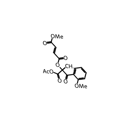 COC(=O)C=CC(=O)OC(C)(C(=O)OC(C)=O)C(=O)c1ccccc1OC